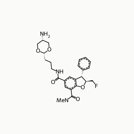 CNC(=O)c1cc(C(=O)NCCC[C@H]2OC[C@@H](N)CO2)cc2c1O[C@H](CF)[C@H]2c1ccccc1